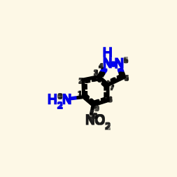 Nc1cc2[nH]ncc2cc1[N+](=O)[O-]